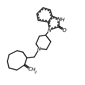 C=C1CCCCCCC1CN1CCC(n2c(=O)[nH]c3ccccc32)CC1